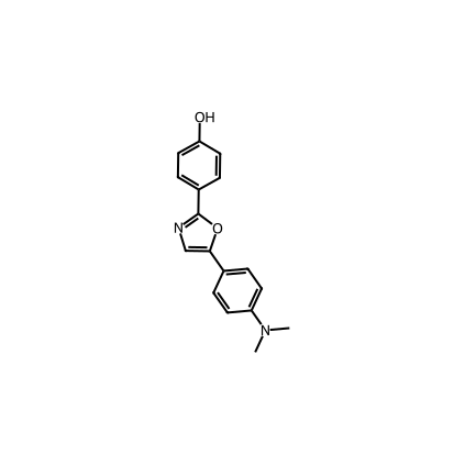 CN(C)c1ccc(-c2cnc(-c3ccc(O)cc3)o2)cc1